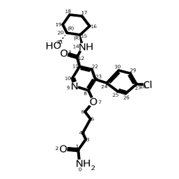 NC(=O)CCCCOc1ncc(C(=O)N[C@@H]2CCCC[C@H]2O)cc1-c1ccc(Cl)cc1